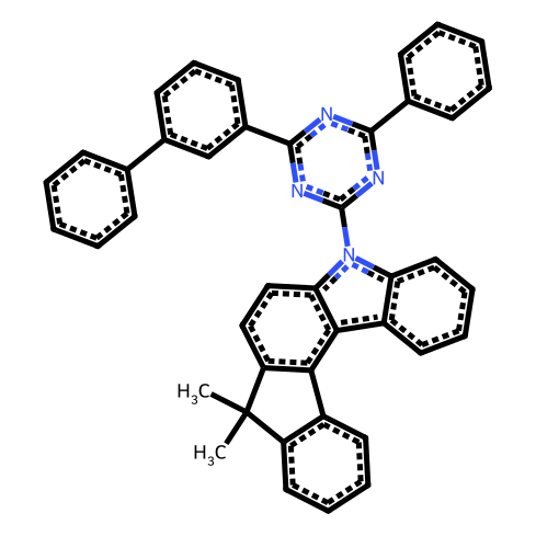 CC1(C)c2ccccc2-c2c1ccc1c2c2ccccc2n1-c1nc(-c2ccccc2)nc(-c2cccc(-c3ccccc3)c2)n1